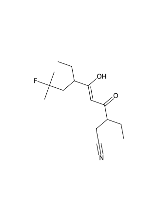 CCC(CC#N)C(=O)/C=C(\O)C(CC)CC(C)(C)F